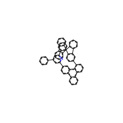 c1ccc(-c2cc(-c3ccccc3)nc(-c3ccc4c5ccccc5c5cccc(-c6ccc7c(c6)-c6ccccc6C76c7ccccc7-c7ccccc76)c5c4c3)c2)cc1